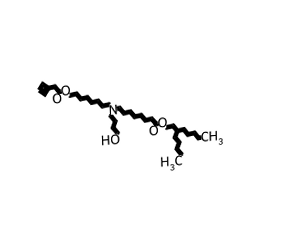 CCCCCC(CCCCC)CCOC(=O)CCCCCCCN(CCCCO)CCCCCCCCOC(=O)CC12CC(C1)C2